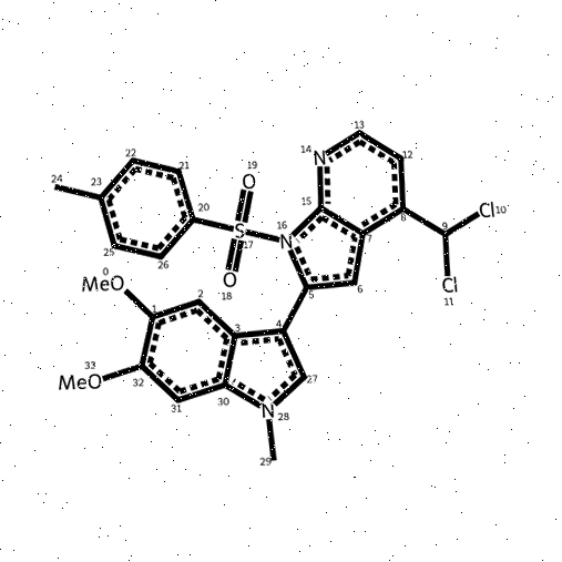 COc1cc2c(-c3cc4c(C(Cl)Cl)ccnc4n3S(=O)(=O)c3ccc(C)cc3)cn(C)c2cc1OC